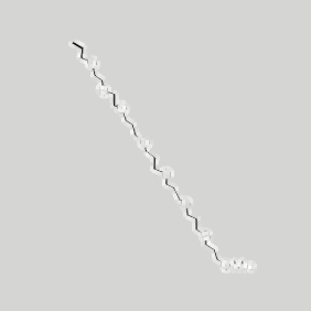 C=CCOCCOCCOCCCOCCCOCCCOCCCOCCCOC